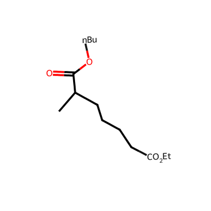 CCCCOC(=O)C(C)CCCCC(=O)OCC